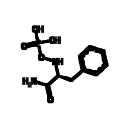 NC(=O)[C@H](Cc1ccccc1)NOP(=O)(O)O